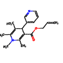 C=CCOC(=O)C1=C(C)N(C)C(C)=C(C(=O)O)C1c1cccnc1